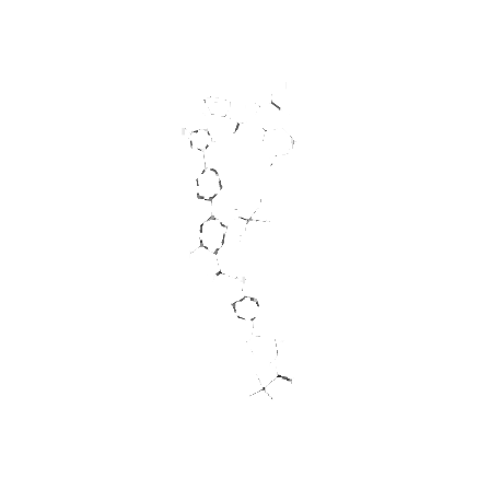 C[C@H]1C[C@@H](c2nc(-c3ccc(-c4cc(Cl)c(C(=O)Nc5ccc(N6CCN(C(=O)C(C)(C)C)C[C@H]6C)nc5)cc4OC(F)(F)F)cc3)c[nH]2)N(C(=O)[C@@H](NC(=O)O)C2C[C@H](C)O[C@@H](C)C2)C1